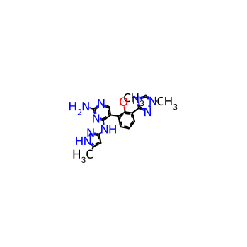 COc1c(-c2ncn(C)n2)cccc1-c1cnc(N)nc1Nc1cc(C)[nH]n1